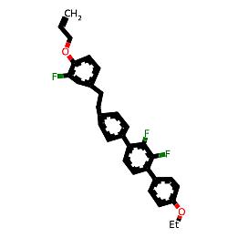 C=CCOc1ccc(CCc2ccc(-c3ccc(-c4ccc(OCC)cc4)c(F)c3F)cc2)cc1F